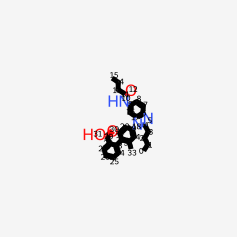 CCCCc1nc2ccc(NC(=O)CCC)cc2n1-c1ccc(-c2ccccc2C(=O)O)c(C)c1